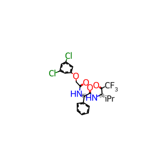 CC(C)[C@H](NC(=O)[C@@H](NC(=O)COc1cc(Cl)cc(Cl)c1)c1ccccc1)C(=O)C(F)(F)F